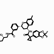 Cc1ccc2c(c1)O[C@@H](c1cccc(C(=O)NC[C@@H](O)CO)c1)C[C@H]2NC(=O)C1(c2ccc3c(c2)OC(F)(F)O3)CC1